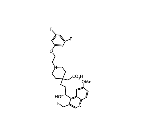 COc1ccc2ncc(CF)c([C@H](O)CCC3(CC(=O)O)CCN(CCOc4cc(F)cc(F)c4)CC3)c2c1